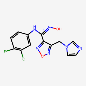 O/N=C(/Nc1ccc(F)c(Cl)c1)c1nonc1Cn1ccnc1